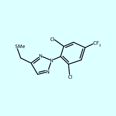 CSCc1cnn(-c2c(Cl)cc(C(F)(F)F)cc2Cl)n1